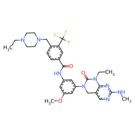 CCN1CCN(Cc2ccc(C(=O)Nc3cc(OC)cc(N4Cc5cnc(NC)nc5N(CC)C4=O)c3)cc2C(F)(F)F)CC1